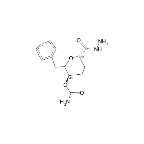 NNC(=O)[C@@H]1CC[C@@H](OC(N)=O)C(Cc2ccccc2)O1